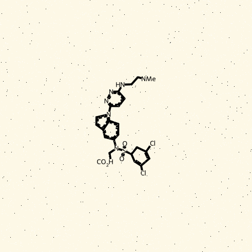 CNCCNc1ccc(-n2ccc3cc(N(CC(=O)O)S(=O)(=O)C4C=C(Cl)C=C(Cl)C4)ccc32)nn1